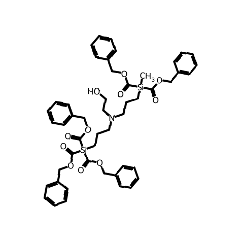 C[Si](CCCN(CCO)CCC[Si](C(=O)OCc1ccccc1)(C(=O)OCc1ccccc1)C(=O)OCc1ccccc1)(C(=O)OCc1ccccc1)C(=O)OCc1ccccc1